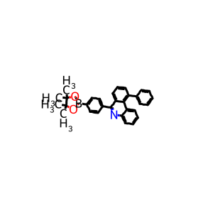 CC1(C)OB(c2ccc(-c3nc4ccccc4c4c(-c5ccccc5)cccc34)cc2)OC1(C)C